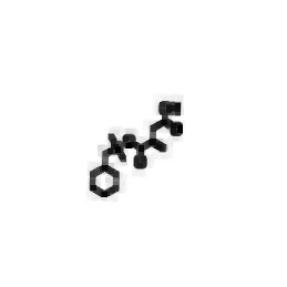 C=C(CC(=O)O)C(=O)O[Si](C)(C)CC1CCCCC1